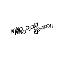 CN1CCc2c(nc(C(=O)Nc3cccc(-c4cccc5c4CCC5Oc4cc(Cl)c(OCCN5CCC(O)C5)cc4Cl)c3Cl)n2C)C1